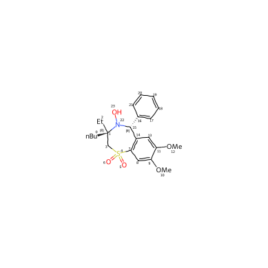 CCCC[C@]1(CC)CS(=O)(=O)c2cc(OC)c(OC)cc2[C@@H](c2ccccc2)N1O